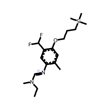 CCN(C)/C=N/c1cc(C(F)F)c(OCCC[Si](C)(C)C)cc1C